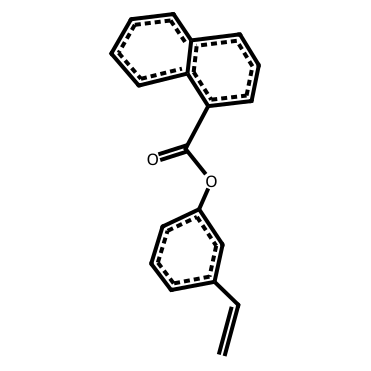 C=Cc1cccc(OC(=O)c2cccc3ccccc23)c1